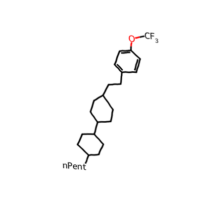 CCCCCC1CCC(C2CCC(CCc3ccc(OC(F)(F)F)cc3)CC2)CC1